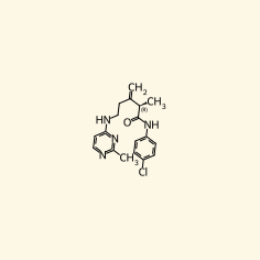 C=C(CCNc1ccnc(C)n1)[C@@H](C)C(=O)Nc1ccc(Cl)cc1